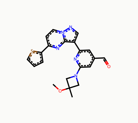 COC1(C)CN(c2cc(C=O)cc(-c3cnn4ccc(-c5cccs5)nc34)n2)C1